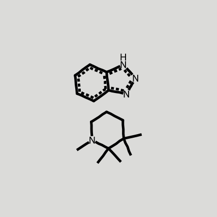 CN1CCCC(C)(C)C1(C)C.c1ccc2[nH]nnc2c1